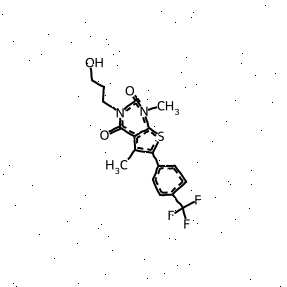 Cc1c(-c2ccc(C(F)(F)F)cc2)sc2c1c(=O)n(CCCO)c(=O)n2C